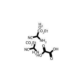 CCOC(=O)C(N)C#N.CCOC(=O)C(N)C#N.O.O=C(O)C(=O)O